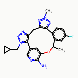 CC1Oc2cc(cnc2N)-c2c(nnn2CC2CC2)Cc2nn(C)nc2-c2ccc(F)cc21